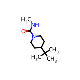 CNC(=O)N1CCC(C(C)(C)C)CC1